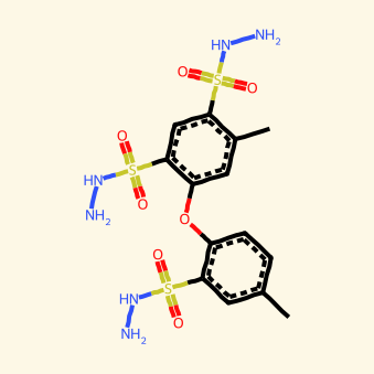 Cc1ccc(Oc2cc(C)c(S(=O)(=O)NN)cc2S(=O)(=O)NN)c(S(=O)(=O)NN)c1